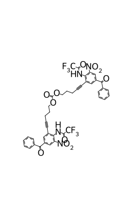 O=C(OCCCC#Cc1cc(C(=O)c2ccccc2)cc([N+](=O)[O-])c1NC(=O)C(F)(F)F)OCCCC#Cc1cc(C(=O)c2ccccc2)cc([N+](=O)[O-])c1NC(=O)C(F)(F)F